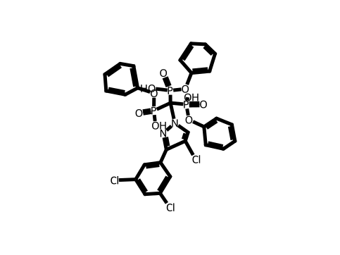 O=P(O)(Oc1ccccc1)C(n1cc(Cl)c(-c2cc(Cl)cc(Cl)c2)n1)(P(=O)(O)Oc1ccccc1)P(=O)(O)Oc1ccccc1